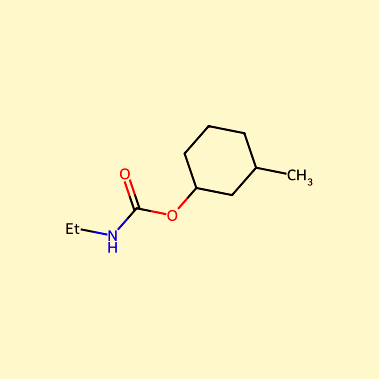 CCNC(=O)OC1CCCC(C)C1